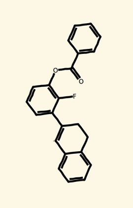 O=C(Oc1cccc(C2=[C]c3ccccc3CC2)c1F)c1ccccc1